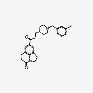 O=C(CCC1CCN(Cc2cccc(F)c2)CC1)c1cc2c3c(c1)CCN3C(=O)CC2